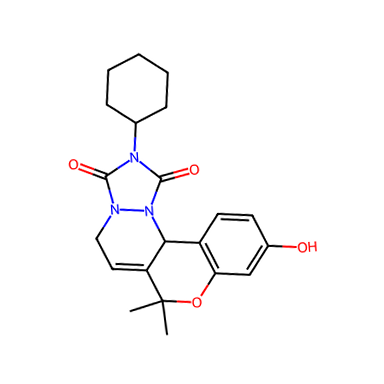 CC1(C)Oc2cc(O)ccc2C2C1=CCn1c(=O)n(C3CCCCC3)c(=O)n12